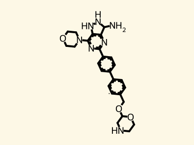 NC1NNc2c1nc(-c1ccc(-c3c[c]c(COC4CNCCO4)cc3)cc1)nc2N1CCOCC1